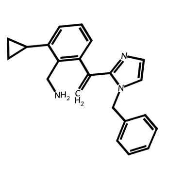 C=C(c1cccc(C2CC2)c1CN)c1nccn1Cc1ccccc1